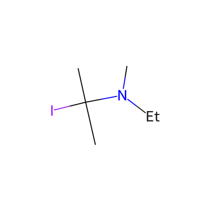 CCN(C)C(C)(C)I